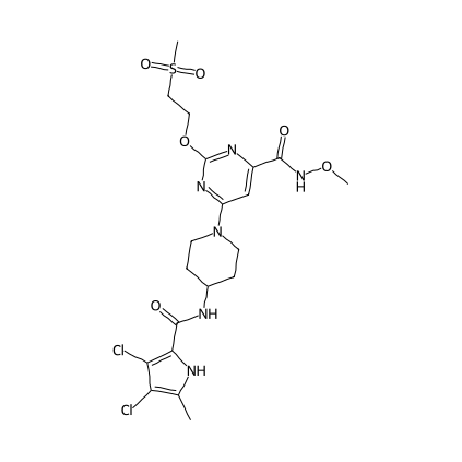 CONC(=O)c1cc(N2CCC(NC(=O)c3[nH]c(C)c(Cl)c3Cl)CC2)nc(OCCS(C)(=O)=O)n1